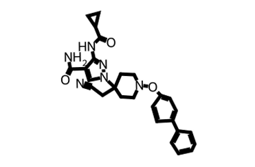 N#CCC1(n2cc(C(N)=O)c(NC(=O)C3CC3)n2)CCN(Oc2ccc(-c3ccccc3)cc2)CC1